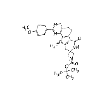 COc1ccc(-c2ncc3c(n2)-c2c(c4c(n2C)CC2(CN(C(=O)OC(C)(C)C)C2)NC4=O)CC3)cc1